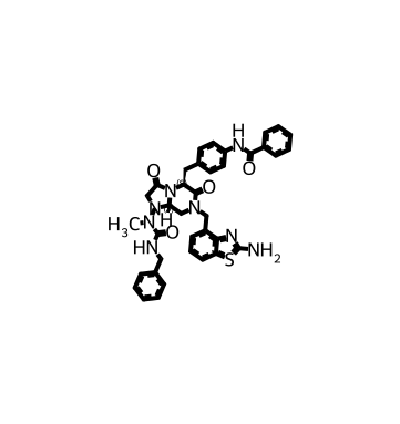 CN(C(=O)NCc1ccccc1)N1CC(=O)N2[C@@H](Cc3ccc(NC(=O)c4ccccc4)cc3)C(=O)N(Cc3cccc4sc(N)nc34)C[C@@H]21